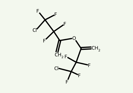 C=C(OC(=C)C(F)(F)C(F)(F)Cl)C(F)(F)C(F)(F)Cl